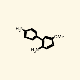 COc1ccc(N)c(-c2ccc(N)cc2)c1